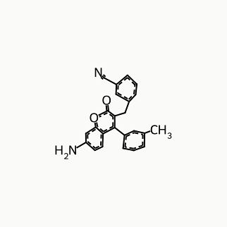 Cc1cccc(-c2c(Cc3cccc(C#N)c3)c(=O)oc3cc(N)ccc23)c1